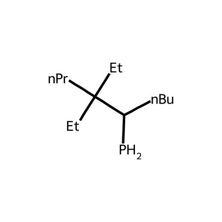 CCCCC(P)C(CC)(CC)CCC